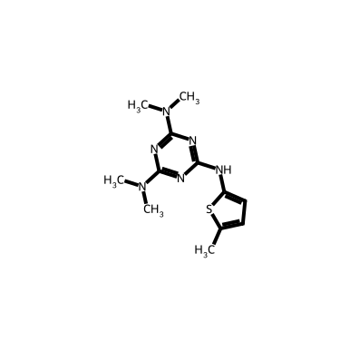 Cc1ccc(Nc2nc(N(C)C)nc(N(C)C)n2)s1